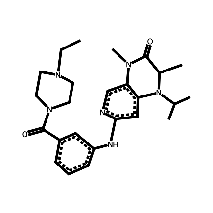 CCN1CCN(C(=O)c2cccc(Nc3cc4c(cn3)N(C)C(=O)C(C)N4C(C)C)c2)CC1